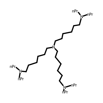 CCCN(CCC)CCCCCCN(CCCCCCN(CCC)CCC)CCCCCCN(CCC)CCC